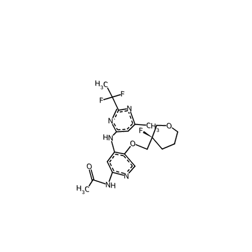 CC(=O)Nc1cc(Nc2cc(C)nc(C(C)(F)F)n2)c(OC[C@@]2(F)CCCOC2)cn1